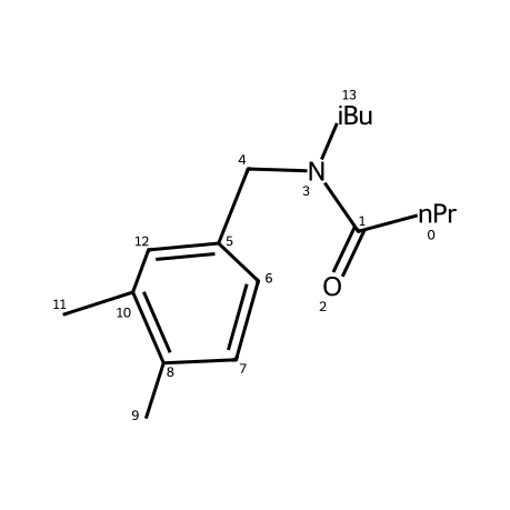 CCCC(=O)N(Cc1ccc(C)c(C)c1)C(C)CC